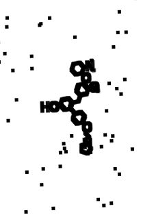 COc1cc(Cc2ccc(O)cc2-c2ccc(OCCN3CCCC3)cc2)ccc1OC1CCCCC1N(C)C